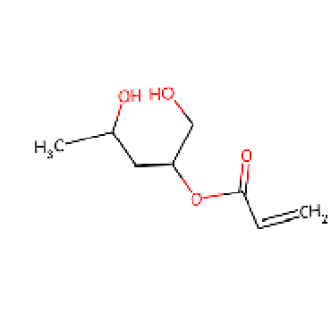 C=CC(=O)OC(CO)CC(C)O